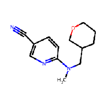 CN(CC1CCCOC1)c1ccc(C#N)cn1